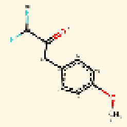 COc1ccc(CC(=O)C(F)F)cc1